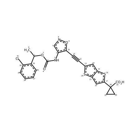 CC(OC(=O)Nc1cnoc1C#Cc1cc2sc(C3(C(=O)O)CC3)cc2s1)c1ccccc1Cl